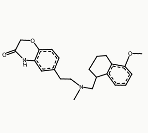 COc1cccc2c1CCCC2CN(C)CCc1ccc2c(c1)NC(=O)CO2